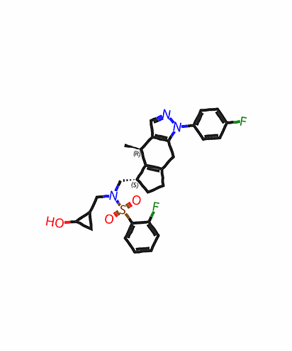 C[C@@H]1C2=C(CC[C@@H]2CN(CC2CC2O)S(=O)(=O)c2ccccc2F)Cc2c1cnn2-c1ccc(F)cc1